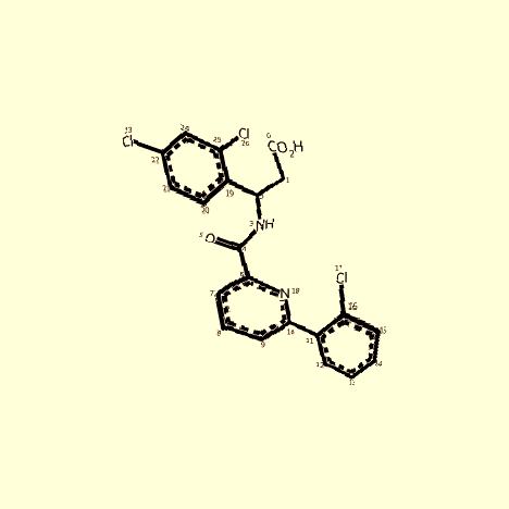 O=C(O)CC(NC(=O)c1cccc(-c2ccccc2Cl)n1)c1ccc(Cl)cc1Cl